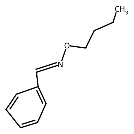 CCCCO/N=C/c1ccccc1